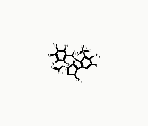 [2H]c1c([2H])c(C(C)n2c3c(c4cc(F)c(C)c(S(C)(=O)=O)c42)C(C)C[C@@H]3CC(=O)O)c(C)c([2H])c1Cl